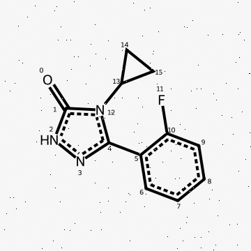 O=c1[nH]nc(-c2ccccc2F)n1C1CC1